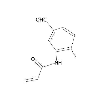 C=CC(=O)Nc1cc(C=O)ccc1C